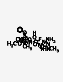 CNc1nc(N)nc2c1ncn2[C@@H]1O[C@H](COP(=O)(CSOc2ccccc2)N[C@@H](C)C(=O)OC(C)C)[C@@H](O)[C@H]1F